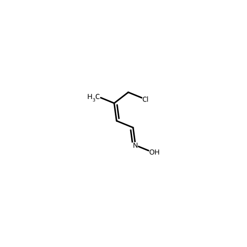 CC(=CC=NO)CCl